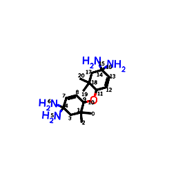 CC1(C)CC(N)(N)C=CC1OC1C=CC(N)(N)CC1(C)C